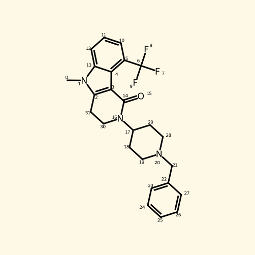 Cn1c2c(c3c(C(F)(F)F)cccc31)C(=O)N(C1CCN(Cc3ccccc3)CC1)CC2